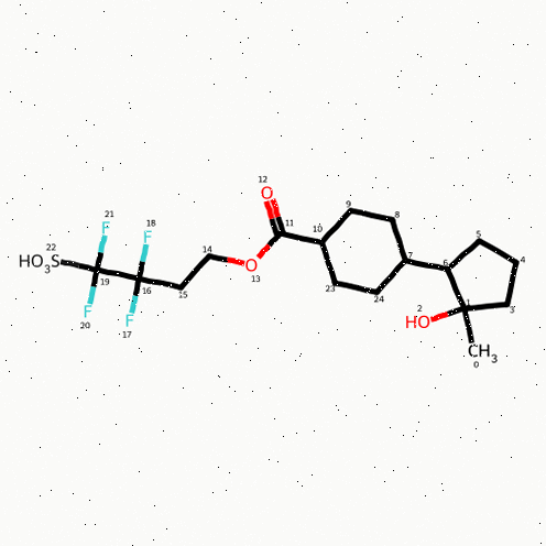 CC1(O)CCCC1C1CCC(C(=O)OCCC(F)(F)C(F)(F)S(=O)(=O)O)CC1